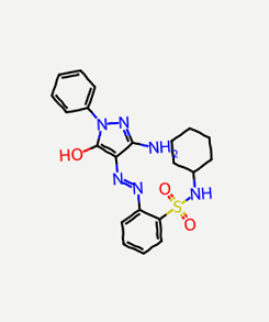 Nc1nn(-c2ccccc2)c(O)c1/N=N/c1ccccc1S(=O)(=O)NC1CCCCC1